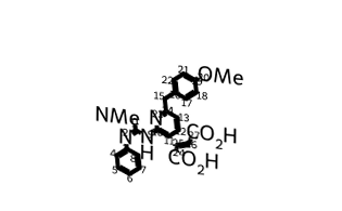 CNC(=Nc1ccccc1)Nc1cccc(Cc2ccc(OC)cc2)n1.O=C(O)C=CC(=O)O